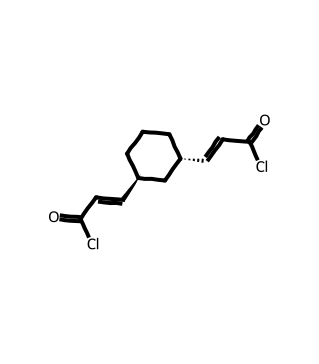 O=C(Cl)/C=C/[C@H]1CCC[C@H](/C=C/C(=O)Cl)C1